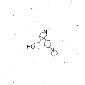 CCN1CC2C(CCO)C2(c2ccc(N3CCCC3)cc2)C1